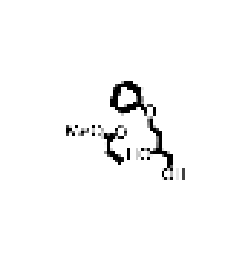 C=CC(=O)OC.OCC(O)CCOc1ccccc1